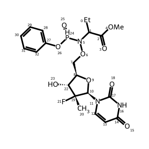 CCC(C(=O)OC)N(OC[C@H]1O[C@@H](n2ccc(=O)[nH]c2=O)[C@](C)(F)[C@@H]1O)[PH](=O)Oc1ccccc1